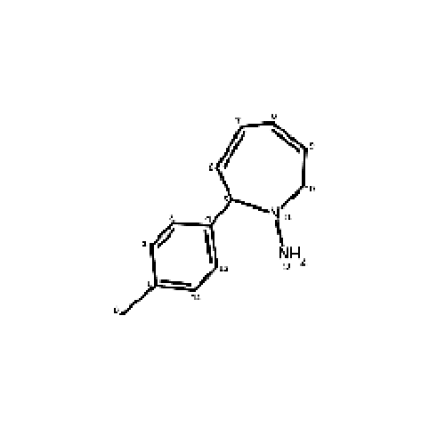 Cc1ccc(C2C=CC=CCN2N)cc1